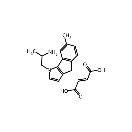 Cc1ccc2c(c1)-c1c(ccn1CC(C)N)C2.O=C(O)/C=C/C(=O)O